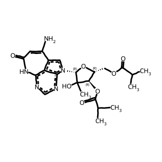 CC(C)C(=O)OC[C@H]1O[C@@H](n2cc3c4c(ncnc42)NC(=O)C=C3N)C(C)(O)[C@@H]1OC(=O)C(C)C